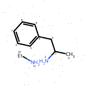 CC(N)Cc1ccccc1.CCN